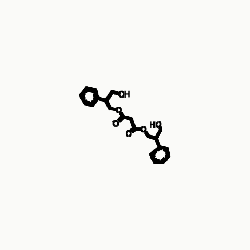 O=C(CC(=O)OCC(CO)c1ccccc1)OCC(CO)c1ccccc1